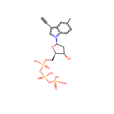 C#Cc1cn([C@H]2C[C@@H](O)[C@@H](COP(=O)(O)OP(=O)(O)OP(=O)(O)O)O2)c2ccc(C)cc12